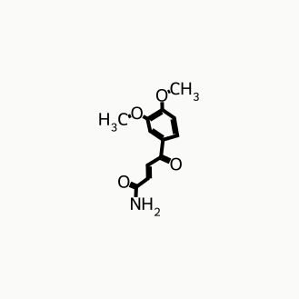 COc1ccc(C(=O)C=CC(N)=O)cc1OC